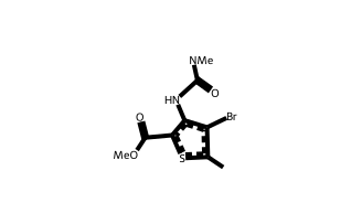 CNC(=O)Nc1c(C(=O)OC)sc(C)c1Br